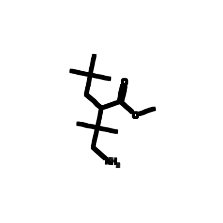 COC(=O)C(CC(C)(C)C)C(C)(C)CN